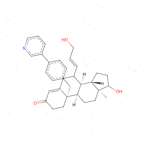 C[C@]12CC[C@@H]3[C@@H](C(C=CCO)CC4=CC(=O)CC[C@@]43Cc3ccc(-c4cccnc4)cc3)[C@@H]1CCC2O